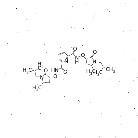 CC(C)CN1C(=O)[C@H](ONC(=O)c2cccc(C(=O)NO[C@@H]3CC(C)N(CC(C)C)C3=O)n2)CC1C